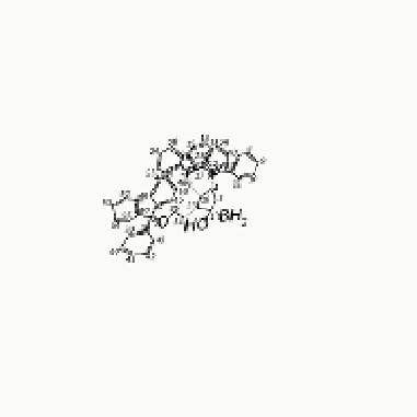 B[C@@]1(O)C[C@@H](P(c2ccccc2)c2ccccc2)[C@@H](CP(c2ccccc2)c2ccccc2)[C@H]1CCOC(c1ccccc1)(c1ccccc1)c1ccccc1